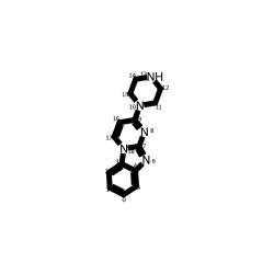 c1ccc2c(c1)nc1nc(N3CCNCC3)ccn12